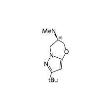 CN[C@H]1COc2cc(C(C)(C)C)nn2C1